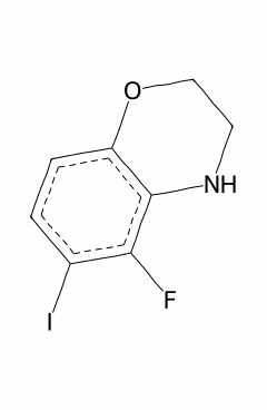 Fc1c(I)ccc2c1NCCO2